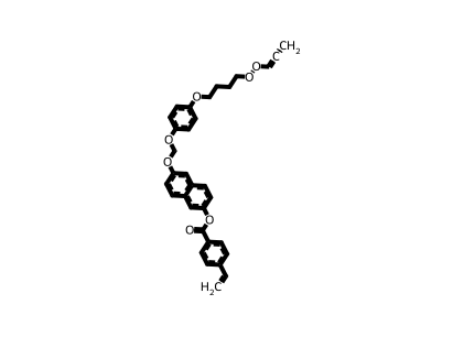 C=C=COOCCCCOc1ccc(OCOc2ccc3cc(OC(=O)c4ccc(C=C)cc4)ccc3c2)cc1